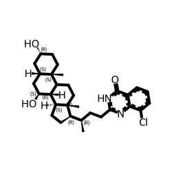 C[C@H](CCc1nc2c(Cl)cccc2c(=O)[nH]1)[C@H]1CC[C@H]2[C@H]3C(CC[C@]12C)[C@@]1(C)CC[C@@H](O)C[C@H]1C[C@@H]3O